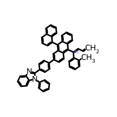 C=C/C=C(\c1ccccc1C)c1c2ccccc2c(-c2cccc3ccccc23)c2cc(-c3ccc(-c4nc5ccccc5n4-c4ccccc4)cc3)ccc12